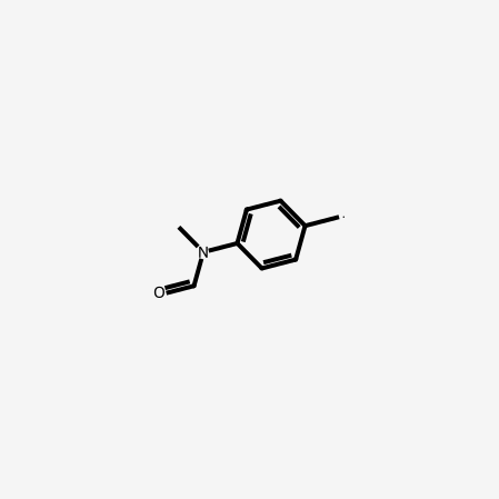 [CH2]c1ccc(N(C)C=O)cc1